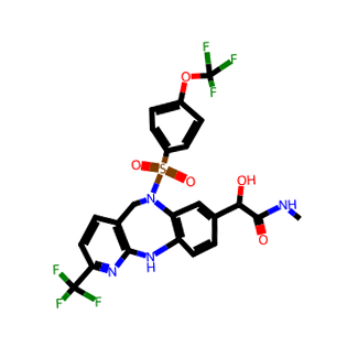 CNC(=O)C(O)c1ccc2c(c1)N(S(=O)(=O)c1ccc(OC(F)(F)F)cc1)Cc1ccc(C(F)(F)F)nc1N2